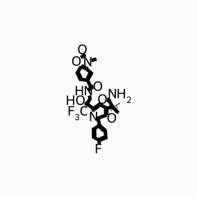 Cn1c(=O)oc2ccc(C(=O)NCC(O)(c3cc4c(c(-c5ccc(F)cc5)n3)OC[C@]4(C)C(N)=O)C(F)(F)F)cc21